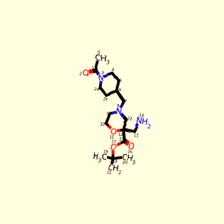 CC(=O)N1CCC(CN2CCOC(CN)(C(=O)OC(C)(C)C)C2)CC1